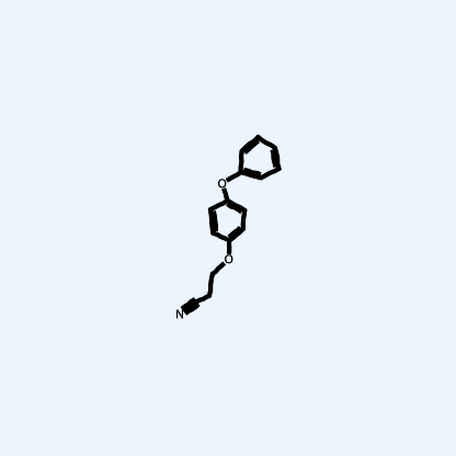 N#CCCOc1ccc(Oc2ccccc2)cc1